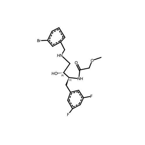 COCC(=O)N[C@@H](Cc1cc(F)cc(F)c1)[C@H](O)CNCc1cccc(Br)c1